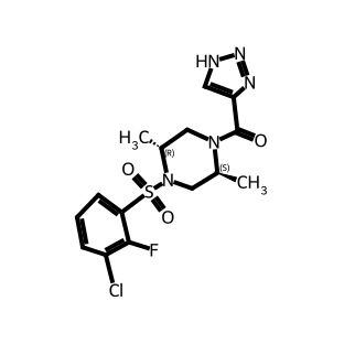 C[C@@H]1CN(C(=O)c2c[nH]nn2)[C@@H](C)CN1S(=O)(=O)c1cccc(Cl)c1F